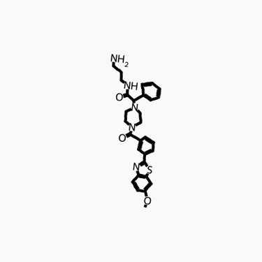 COc1ccc2nc(-c3cccc(C(=O)N4CCN(C(C(=O)NCCCN)c5ccccc5)CC4)c3)sc2c1